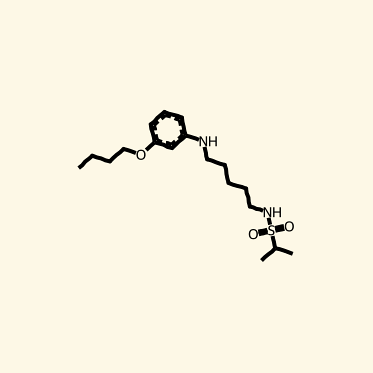 CCCCOc1cccc(NCCCCCNS(=O)(=O)C(C)C)c1